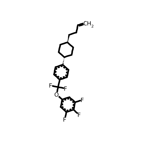 C=CCC[C@H]1CC[C@H](c2ccc(C(F)(F)Oc3cc(F)c(F)c(F)c3)cc2)CC1